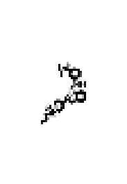 CCCS(=O)(=O)N1CCC(N(COCNc2cccc(C(F)(F)F)c2)Cc2ccccc2)CC1